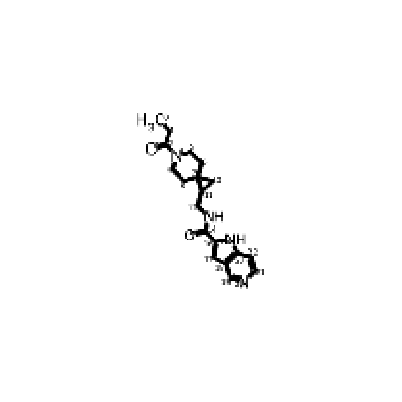 CCC(=O)N1CCC2(CC1)CC2CNC(=O)c1cc2cnccc2[nH]1